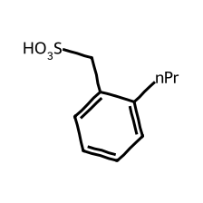 CCCc1ccccc1CS(=O)(=O)O